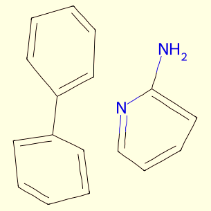 Nc1ccccn1.c1ccc(-c2ccccc2)cc1